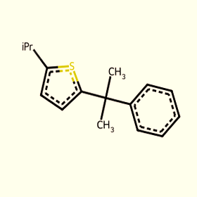 CC(C)c1ccc(C(C)(C)c2ccccc2)s1